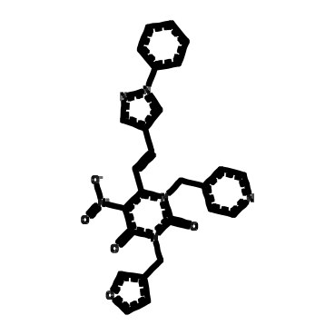 O=c1c([N+](=O)[O-])c(/C=C/c2cnn(-c3ccccc3)c2)n(Cc2ccncc2)c(=O)n1Cc1ccoc1